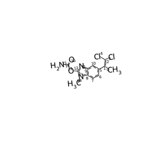 CC(=C(Cl)Cl)c1ccc2c(c1)nc(OC(N)=O)n2C